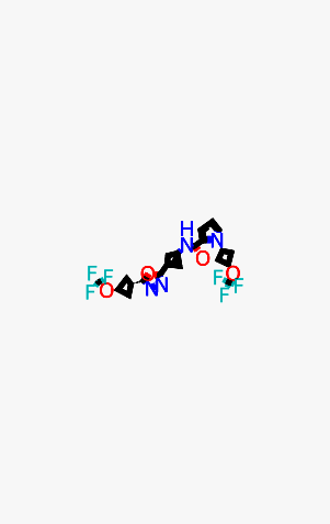 O=C(NC12CC(c3nnc([C@H]4C[C@@H](OC(F)(F)F)C4)o3)(C1)C2)c1cccn1[C@H]1C[C@@H](OC(F)(F)F)C1